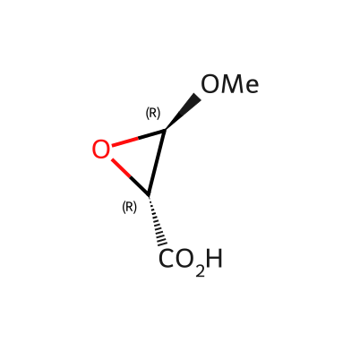 CO[C@@H]1O[C@H]1C(=O)O